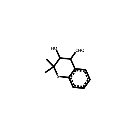 CC1(C)Sc2ccccc2C(C=O)C1O